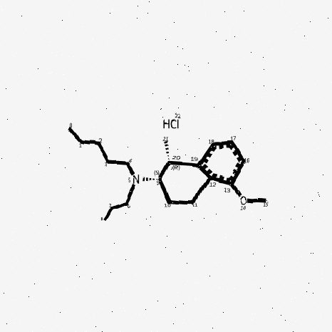 CCCCCN(CCC)[C@H]1CCc2c(OC)cccc2[C@H]1C.Cl